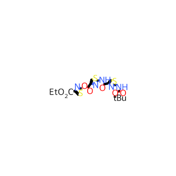 CCOC(=O)c1csc(OC(=O)c2csc(NC(=O)c3csc(NC(=O)OC(C)(C)C)n3)n2)n1